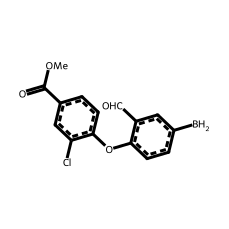 Bc1ccc(Oc2ccc(C(=O)OC)cc2Cl)c(C=O)c1